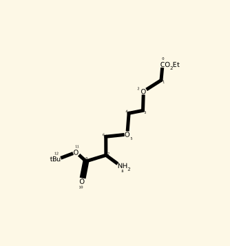 CCOC(=O)COCCOCC(N)C(=O)OC(C)(C)C